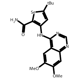 COc1cc2ncnc(Nc3cc(C(C)(C)C)[se]c3C(N)=O)c2cc1OC